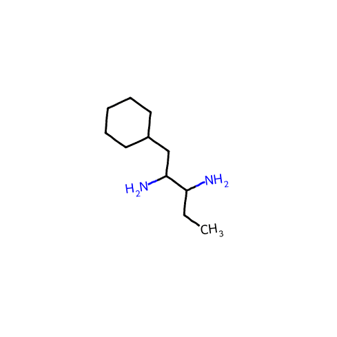 CCC(N)C(N)CC1CCCCC1